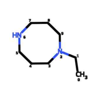 CCN1CCCNCCC1